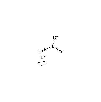 O.[Li+].[Li+].[O-]B([O-])F